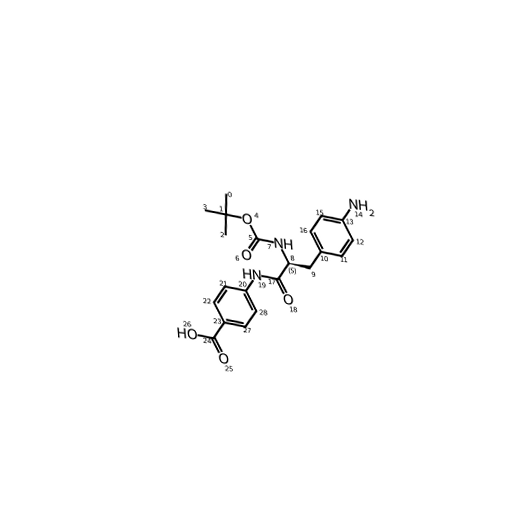 CC(C)(C)OC(=O)N[C@@H](Cc1ccc(N)cc1)C(=O)Nc1ccc(C(=O)O)cc1